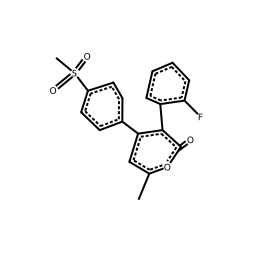 Cc1cc(-c2ccc(S(C)(=O)=O)cc2)c(-c2ccccc2F)c(=O)o1